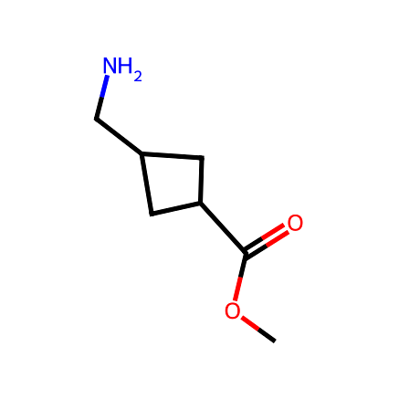 COC(=O)C1CC(CN)C1